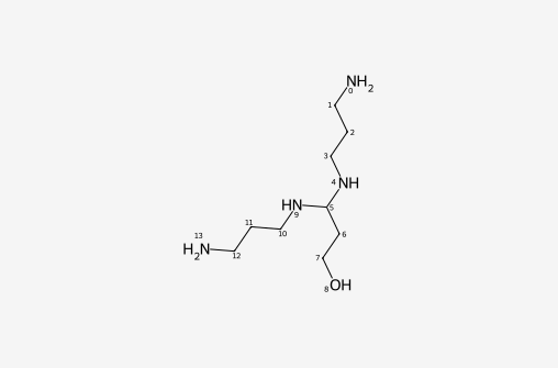 NCCCNC(CCO)NCCCN